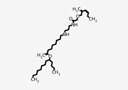 C=C(/C=C\CC)COCC(=O)NCCCNCCCCCCCC(=C)OC(CCCC)CCCCCCCC